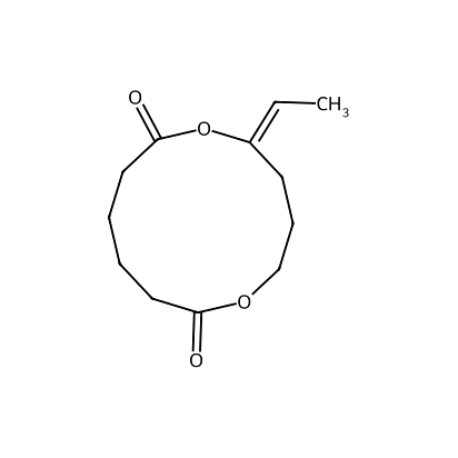 CC=C1CCCOC(=O)CCCCC(=O)O1